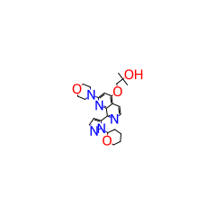 CC(C)(O)COc1cc(N2CCOCC2)nc2c(-c3ccnn3C3CCCCO3)nccc12